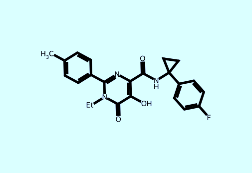 CCn1c(-c2ccc(C)cc2)nc(C(=O)NC2(c3ccc(F)cc3)CC2)c(O)c1=O